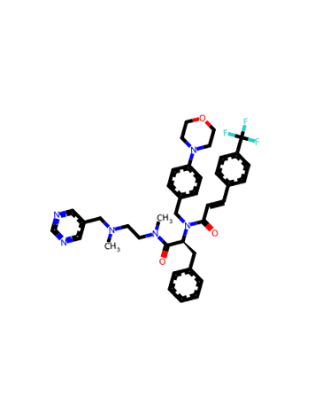 CN(CCN(C)C(=O)[C@H](Cc1ccccc1)N(Cc1ccc(N2CCOCC2)cc1)C(=O)C=Cc1ccc(C(F)(F)F)cc1)Cc1cncnc1